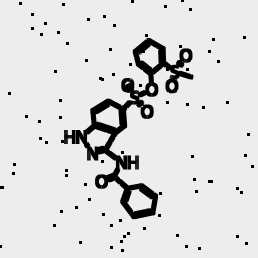 CS(=O)(=O)c1ccccc1OS(=O)(=O)c1ccc2[nH]nc(NC(=O)c3ccccc3)c2c1